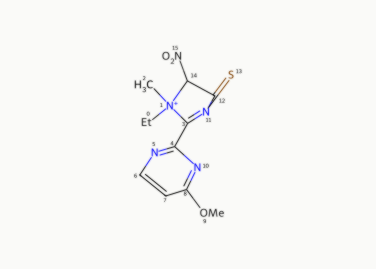 CC[N+]1(C)C(c2nccc(OC)n2)=NC(=S)C1[N+](=O)[O-]